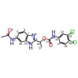 CC(=O)Nc1ccc2nc(C(C)OC(=O)Nc3ccc(Cl)c(Cl)c3)[nH]c2c1